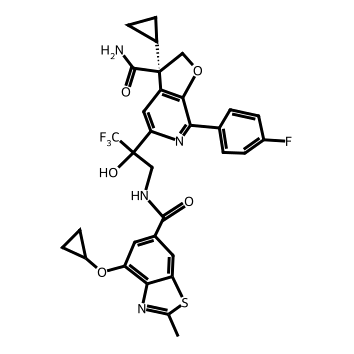 Cc1nc2c(OC3CC3)cc(C(=O)NCC(O)(c3cc4c(c(-c5ccc(F)cc5)n3)OC[C@@]4(C(N)=O)C3CC3)C(F)(F)F)cc2s1